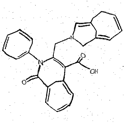 O=C(O)c1c(CN2C=C3CC=CC=C3C2)n(-c2ccccc2)c(=O)c2ccccc12